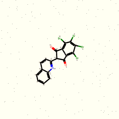 O=C1c2c(Br)c(Br)c(Br)c(Br)c2C(=O)C1c1ccc2ccccc2n1